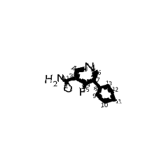 NC(=O)c1cn[c]c(-c2ccccc2)c1F